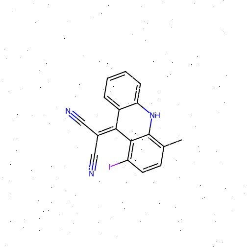 Cc1ccc(I)c2c1Nc1ccccc1C2=C(C#N)C#N